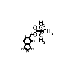 CC(C)(C)C(=O)OCc1ccc2c(c1)CC=C2